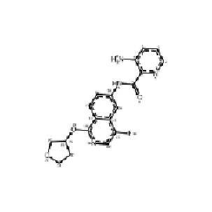 Nc1cccnc1C(=O)Nc1ccc2c(O[C@H]3CCOC3)ncc(F)c2c1